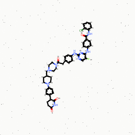 O=C1CCC(c2ccc(N3CCC(CN4CCN(C(=O)Cc5ccc(Nc6ncc(F)c(Nc7ccc(C(=O)Nc8ccccc8Cl)cc7)n6)cc5)CC4)CC3)cc2)C(=O)N1